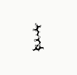 Cc1cc(C)n(CC(=O)OCCC(F)=C(F)F)n1